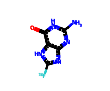 Nc1nc2nc([18F])[nH]c2c(=O)[nH]1